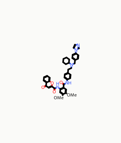 COc1cc(NC(=O)c2cc(=O)c3ccccc3o2)c(C(=O)Nc2ccc(CCN(Cc3ccc(-n4ccnc4)cc3)C3CCCCC3)cc2)cc1OC